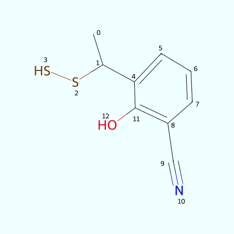 CC(SS)c1cccc(C#N)c1O